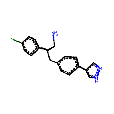 NCC(Cc1ccc(-c2cn[nH]c2)cc1)c1ccc(F)cc1